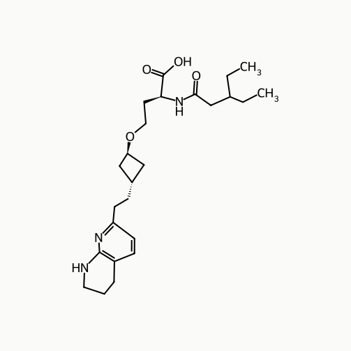 CCC(CC)CC(=O)N[C@@H](CCO[C@H]1C[C@H](CCc2ccc3c(n2)NCCC3)C1)C(=O)O